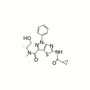 C[C@H](CO)N(C)C(=O)c1nn(-c2ccccc2)c2nc(NC(=O)C3CC3)sc12